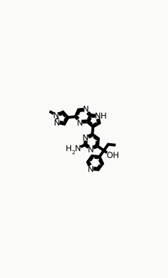 CCC(O)(c1ccncc1)c1cc(-c2c[nH]c3ncc(-c4cnn(C)c4)nc23)nc(N)n1